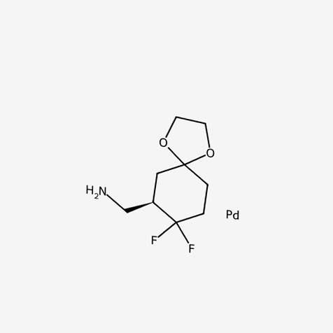 NC[C@H]1CC2(CCC1(F)F)OCCO2.[Pd]